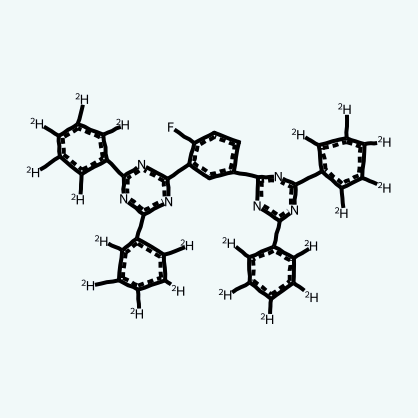 [2H]c1c([2H])c([2H])c(-c2nc(-c3ccc(F)c(-c4nc(-c5c([2H])c([2H])c([2H])c([2H])c5[2H])nc(-c5c([2H])c([2H])c([2H])c([2H])c5[2H])n4)c3)nc(-c3c([2H])c([2H])c([2H])c([2H])c3[2H])n2)c([2H])c1[2H]